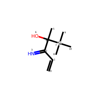 C=CC(=N)C(C)(O)[Si](C)(C)C